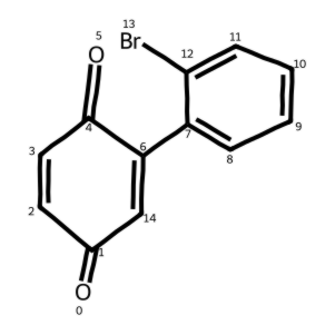 O=C1C=CC(=O)C(c2ccccc2Br)=C1